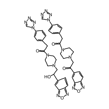 O=C(CN1CCN(C(=O)Cc2ccc(-n3cnnn3)cc2)CC1)c1ccc2nonc2c1.O=C(Cc1ccc(-n2cnnn2)cc1)N1CCN(CC(O)c2ccc3nonc3c2)CC1